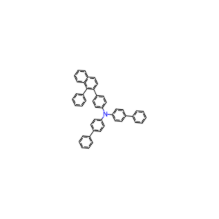 c1ccc(-c2ccc(N(c3ccc(-c4ccccc4)cc3)c3ccc(-c4ccc5ccccc5c4-c4ccccc4)cc3)cc2)cc1